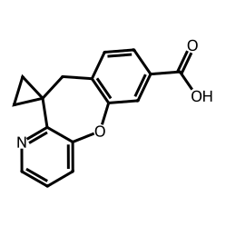 O=C(O)c1ccc2c(c1)Oc1cccnc1C1(CC1)C2